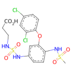 CS(=O)(=O)Nc1ccc(NS(=O)(=O)NCCC(=O)O)cc1Oc1ccc(Cl)cc1Cl